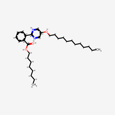 CCCCCCCCCCCCOc1cnc(-c2ccccc2C(=O)OCCCCCCCC)nc1